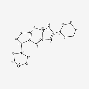 C1CCN(C2=NC3=NC4=C(CCC4N4CCOCC4)CN3N2)CC1